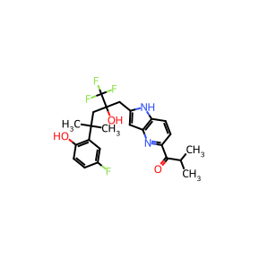 CC(C)C(=O)c1ccc2[nH]c(CC(O)(CC(C)(C)c3cc(F)ccc3O)C(F)(F)F)cc2n1